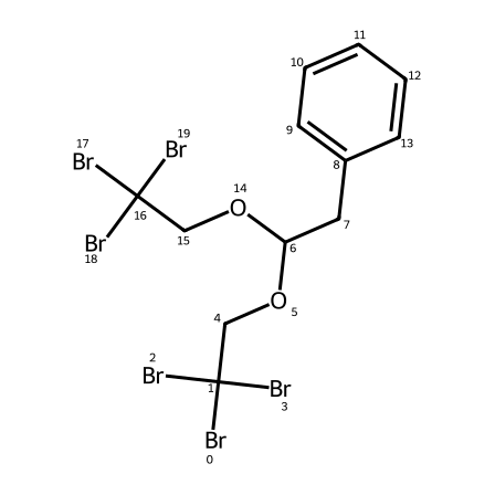 BrC(Br)(Br)COC(Cc1ccccc1)OCC(Br)(Br)Br